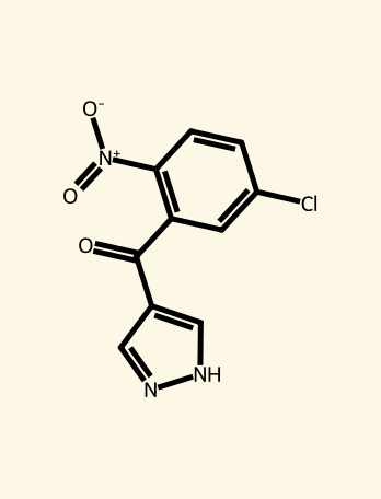 O=C(c1cn[nH]c1)c1cc(Cl)ccc1[N+](=O)[O-]